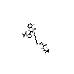 CNC(=O)[C@@H]1CCCN1C(=O)[C@H](CCCCC/C=C\[C@@H]1C[C@@H]1C(=O)NS(=O)(=O)C1(C)CC1)Nc1ccccc1F